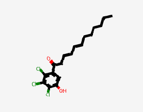 CCCCCCCCCCCC(=O)c1cc(O)c(Cl)c(Cl)c1Cl